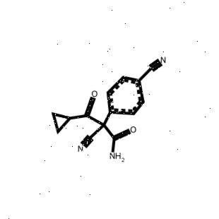 N#Cc1ccc(C(C#N)(C(N)=O)C(=O)C2CC2)cc1